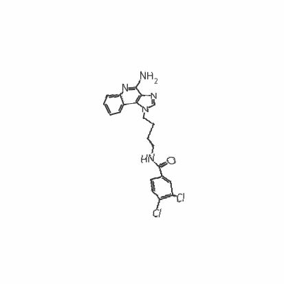 Nc1nc2ccccc2c2c1ncn2CCCCNC(=O)c1ccc(Cl)c(Cl)c1